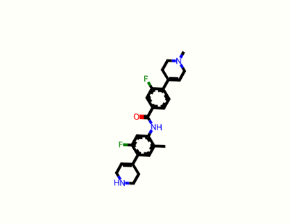 Cc1cc(C2=CCNCC2)c(F)cc1NC(=O)c1ccc(C2=CCN(C)CC2)c(F)c1